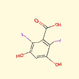 O=C(O)c1c(I)c(O)cc(O)c1I